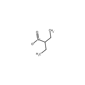 [CH2]CC(CC)[N+](=O)[O-]